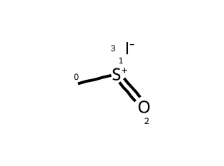 C[S+]=O.[I-]